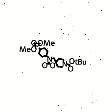 COP(=O)(OC)C1CCC(N2CC3(CCN(C(=O)OC(C)(C)C)CC3)OC2=O)CC1